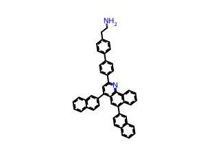 NCCc1ccc(-c2ccc(-c3cc(-c4ccc5ccccc5c4)c4cc(-c5ccc6ccccc6c5)c5ccccc5c4n3)cc2)cc1